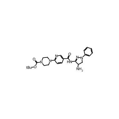 CC(C)(C)OC(=O)N1CCN(c2ccc(C(=O)NC3=NN(c4ccccc4)CC3N)cn2)CC1